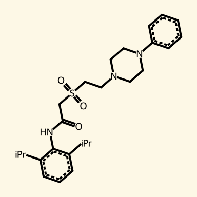 CC(C)c1cccc(C(C)C)c1NC(=O)CS(=O)(=O)CCN1CCN(c2ccccc2)CC1